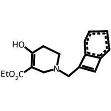 CCOC(=O)C1=C(O)CCN(CC2=Cc3ccccc32)C1